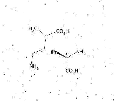 CC(C)[C@@H](N)C(=O)O.CC(CCN)C(=O)O